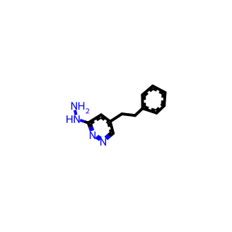 NNc1cc(CCc2ccccc2)cnn1